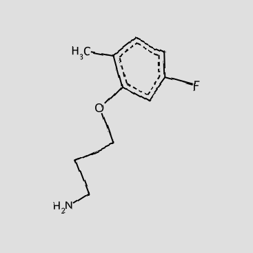 Cc1ccc(F)cc1OCCCN